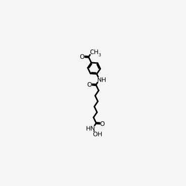 CC(=O)c1ccc(NC(=O)CCCCCCC(=O)NO)cc1